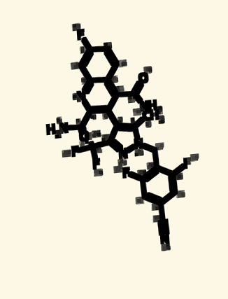 Cc1c(-c2c(C(N)=O)nc3cc(F)ccc3c2C(N)=O)c(C(F)(F)F)nn1Cc1c(F)cc(C#N)cc1F